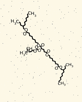 CCCCCCCC(CCC)COC(=O)CCCCCCCOC(=O)CCC(OC(=O)OCCN(C)C)C(=O)OCCCCCCCC(=O)OCC(CCC)CCCCCCC